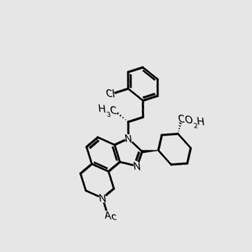 CC(=O)N1CCc2ccc3c(nc([C@@H]4CCC[C@@H](C(=O)O)C4)n3[C@H](C)Cc3ccccc3Cl)c2C1